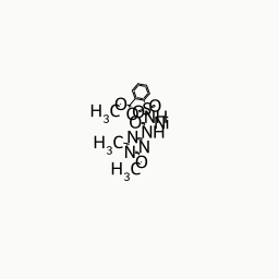 COC(=O)c1ccccc1S(=O)(=O)NC(=O)Nc1nc(C)nc(OC)n1.[Ni]